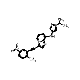 Cc1ccc([N+](=O)[O-])cc1C#Cc1cnc2c(Nc3cnn(C(C)C)c3)cccn12